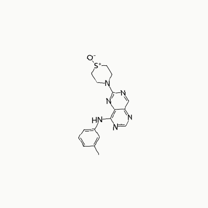 Cc1cccc(Nc2ncnc3cnc(N4CC[S+]([O-])CC4)nc23)c1